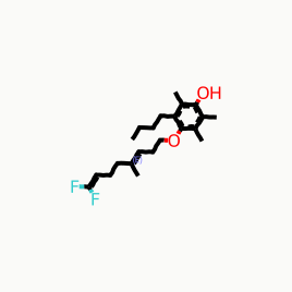 CCCCc1c(C)c(O)c(C)c(C)c1OCC/C=C(\C)CCC=C(F)F